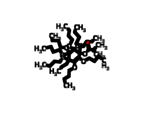 C=C(C)C(=O)OC1(OCCCC)C(OCCCC)=C(OCCCC)C(CCC)(OCCCC)C(OCCCC)(OCCCC)C1(OCCCC)OCCCC